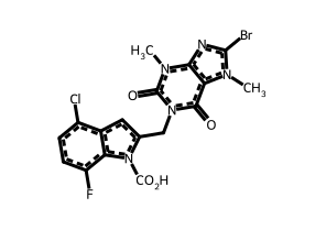 Cn1c(Br)nc2c1c(=O)n(Cc1cc3c(Cl)ccc(F)c3n1C(=O)O)c(=O)n2C